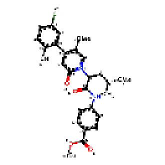 COc1cn(C(C[C@@H](C)OC)C(=O)Nc2ccc(C(=O)OC(C)(C)C)cc2)c(=O)cc1-c1cc(Cl)ccc1C#N